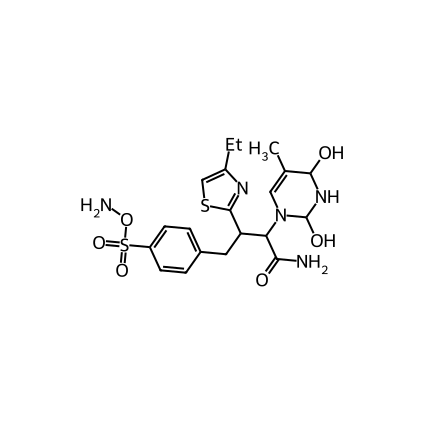 CCc1csc(C(Cc2ccc(S(=O)(=O)ON)cc2)C(C(N)=O)N2C=C(C)C(O)NC2O)n1